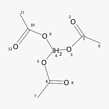 CC(=O)O[IH2](OC(C)=O)OC(C)=O